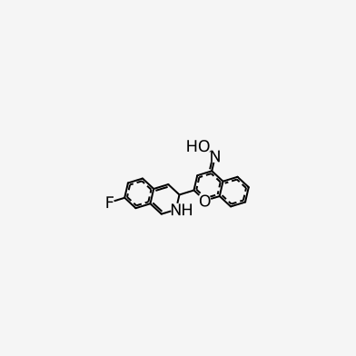 ON=c1cc(C2C=c3ccc(F)cc3=CN2)oc2ccccc12